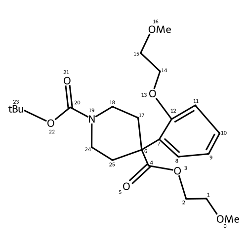 COCCOC(=O)C1(c2ccccc2OCCOC)CCN(C(=O)OC(C)(C)C)CC1